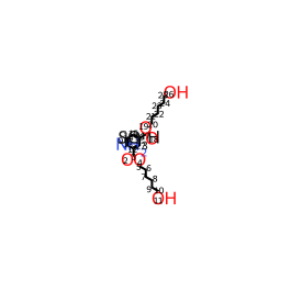 NS(=O)(=O)O.O=C(OCCCCCCO)c1cccc(C(=O)OCCCCCCO)c1